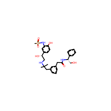 CC(C)(Cc1cccc(CC(=O)N[C@@H](CO)c2ccccc2)c1)NC[C@H](O)c1ccc(O)c(NS(C)(=O)=O)c1